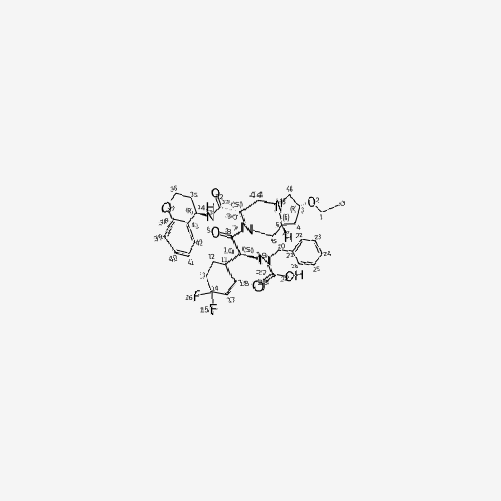 CCO[C@@H]1C[C@@H]2CN(C(=O)[C@H](C3CCC(F)(F)CC3)N(Cc3ccccc3)C(=O)O)[C@H](C(=O)N[C@@H]3CCOc4ccccc43)CN2C1